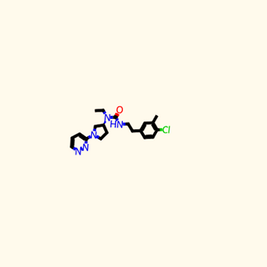 CCN(C(=O)NCCc1ccc(Cl)c(C)c1)[C@H]1CCN(c2cccnn2)C1